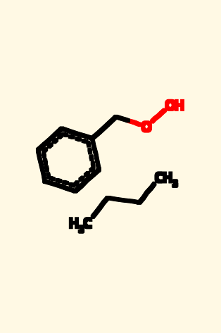 CCCC.OOCc1ccccc1